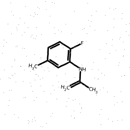 C=C(C)Nc1cc(C)ccc1F